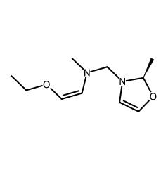 CCO/C=C\N(C)CN1C=CO[C@@H]1C